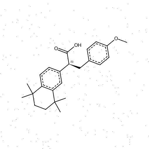 COc1ccc(C[C@H](C(=O)O)c2ccc3c(c2)C(C)(C)CCC3(C)C)cc1